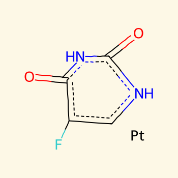 O=c1[nH]cc(F)c(=O)[nH]1.[Pt]